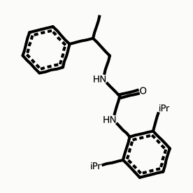 CC(C)c1cccc(C(C)C)c1NC(=O)NCC(C)c1ccccc1